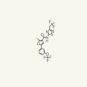 Cc1oc(-c2cccc(OC(F)(F)F)c2)cc1C(=O)Nc1nc(CC(C)(F)F)ns1